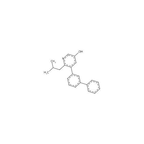 CC(C)Cc1ncc(O)cc1-c1cccc(-c2ccccc2)c1